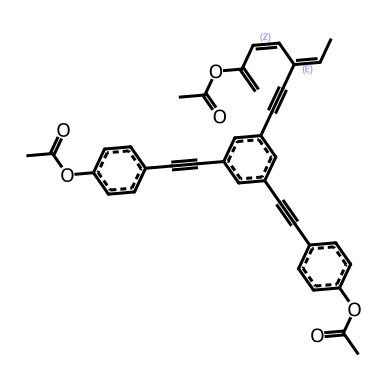 C=C(/C=C\C(C#Cc1cc(C#Cc2ccc(OC(C)=O)cc2)cc(C#Cc2ccc(OC(C)=O)cc2)c1)=C/C)OC(C)=O